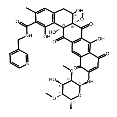 CO[C@@H]1[C@@H](O)[C@@H](OC)[C@@H](NC2=CC(=O)c3c(cc4c(c3O)C(=O)[C@]3(OC)[C@H](O)Cc5cc(C)c(C(=O)NCc6cccnc6)c(O)c5[C@]3(O)C4=O)C2=O)O[C@H]1C